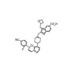 N#Cc1ccc(C2C=Cc3cccc(C4CCN(Cc5nc6ccc(C(=O)O)cc6n5CC5CCO5)CC4)c3O2)c(F)c1